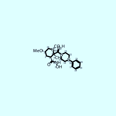 CO[C@H]1C[C@H](C(=O)NO)[C@@](C)(C(=O)N2CCN(c3ccccc3)CC2)N(C(=O)O)C1